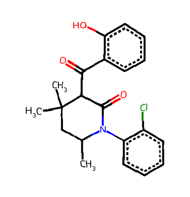 CC1CC(C)(C)C(C(=O)c2ccccc2O)C(=O)N1c1ccccc1Cl